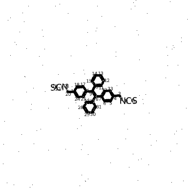 S=C=NCc1ccc(/C(=C(\c2ccccc2)c2ccc(CN=C=S)cc2)c2ccccc2)cc1